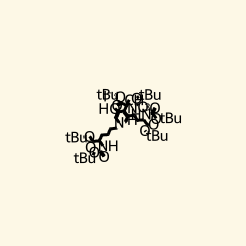 CC(C)(C)OC(=O)NC(CCCC[n+]1cc(O)c(C(C)(NC(=O)OC(C)(C)C)C(=O)OC(C)(C)C)c(CCC(NC(=O)OC(C)(C)C)C(=O)OC(C)(C)C)c1)C(=O)OC(C)(C)C.[I-]